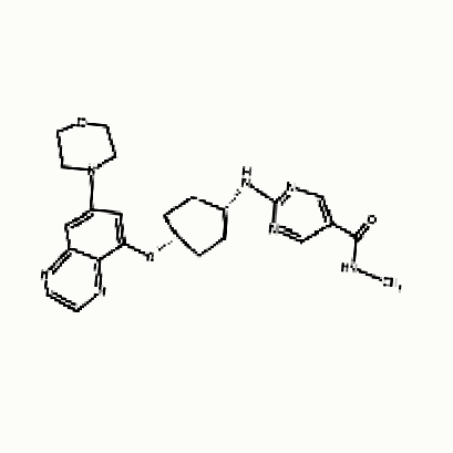 CNC(=O)c1cnc(N[C@H]2CC[C@@H](Oc3cc(N4CCOCC4)cc4nccnc34)CC2)nc1